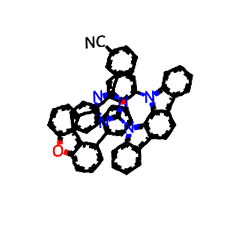 N#Cc1cccc(-c2nc(-c3cccc4oc5cccc(-c6ccccc6)c5c34)nc(-n3c4ccccc4c4ccc5c6ccccc6n(-c6cccc(-c7ccccc7)c6)c5c43)n2)c1